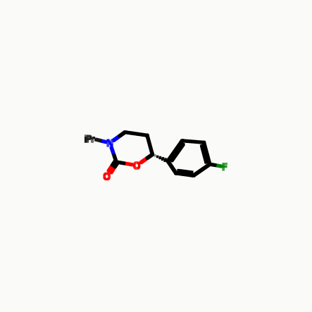 CC(C)N1CC[C@H](c2ccc(F)cc2)OC1=O